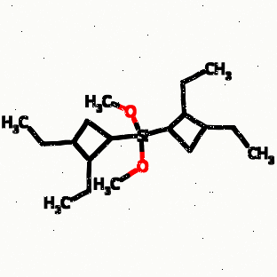 CCC1CC([Si](OC)(OC)C2CC(CC)C2CC)C1CC